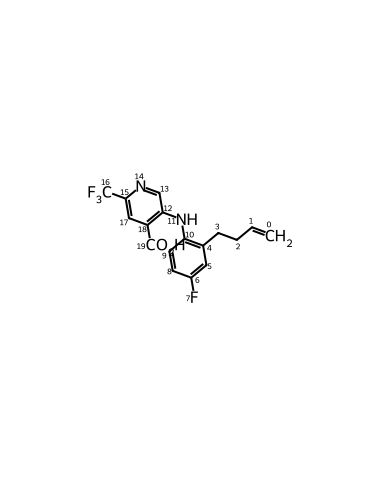 C=CCCc1cc(F)ccc1Nc1cnc(C(F)(F)F)cc1C(=O)O